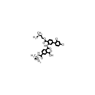 CN(C)CCOC(=O)c1ccc(-c2ccc(Cl)cc2Cl)cc1NC(=O)c1ccc(C(=O)N[SH](C)(C)=O)cc1C(=O)O